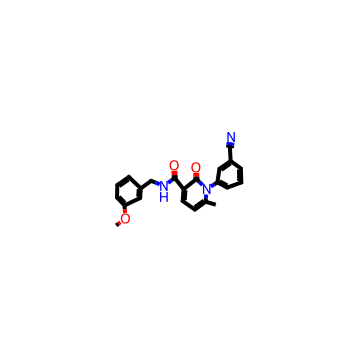 COc1cccc(CNC(=O)c2ccc(C)n(-c3cccc(C#N)c3)c2=O)c1